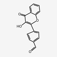 O=Cc1ccc(-c2oc3ccccc3c(=O)c2O)cc1